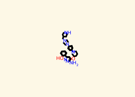 Nc1nnc(-c2ccccc2O)cc1O[C@H]1CCCN(c2ccc(N3CCN(CC4CCNCC4)CC3)cc2)C1